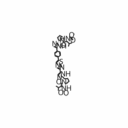 COC(=O)N[C@H](C(=O)N1CCCC1c1ncc(-c2cn3cc(-c4ccc(-c5cnc([C@@H]6CCCN6C(=O)[C@@H](NC(=O)OC)C(C)C)[nH]5)cc4)sc3n2)[nH]1)C(C)C